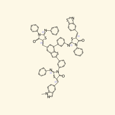 Cn1ncc2cc(/C=C3\S/C(=N\c4ccccc4)N(c4cccc(-c5cc6cc(/C=C7\S/C(=N\c8ccccc8)N(c8ccccc8)C7=O)cc(-c7cccc(/N=C8\S/C(=C\c9ccc%10scnc%10c9)C(=O)N8c8ccccc8)c7)c6s5)c4)C3=O)ccc21